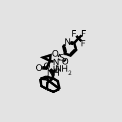 NC(=O)C12CC3CC(C1)C(NC(=O)C1(NS(=O)(=O)c4ccc(C(F)(F)F)nc4)CC1)C(C3)C2